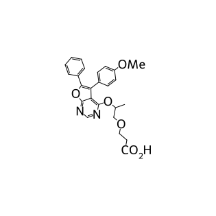 COc1ccc(-c2c(-c3ccccc3)oc3ncnc(OC(C)COCCC(=O)O)c23)cc1